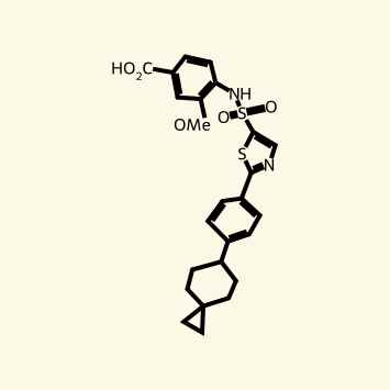 COc1cc(C(=O)O)ccc1NS(=O)(=O)c1cnc(-c2ccc(C3CCC4(CC3)CC4)cc2)s1